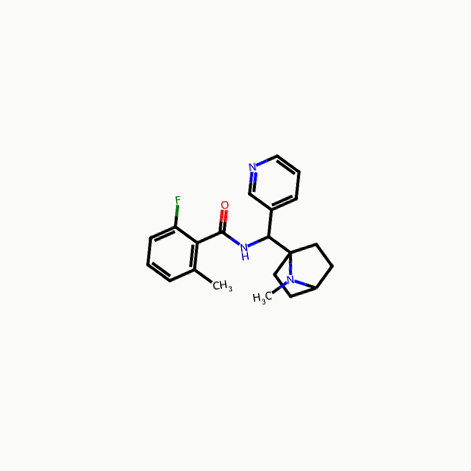 Cc1cccc(F)c1C(=O)NC(c1cccnc1)C12CCC(CC1)N2C